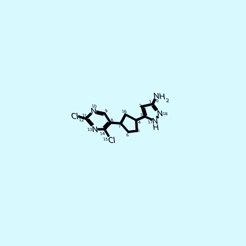 Nc1cc(C2CCC(c3cnc(Cl)nc3Cl)C2)[nH]n1